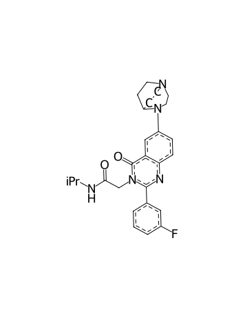 CC(C)NC(=O)Cn1c(-c2cccc(F)c2)nc2ccc(N3CCN4CCC3CC4)cc2c1=O